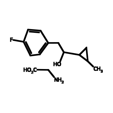 CC1CC1C(O)Cc1ccc(F)cc1.NCC(=O)O